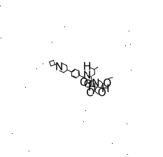 CCO[C@H]1CN(C(=O)[C@H](CC(C)C)NC(=O)c2ccc(C3CCN(C4CCC4)CC3)cc2)[C@@H]2C(=O)CO[C@H]12